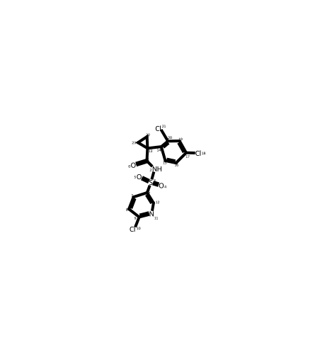 O=C(NS(=O)(=O)c1ccc(Cl)nc1)C1(c2ccc(Cl)cc2Cl)CC1